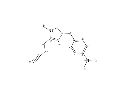 CN1C/C(=C/c2ccc(N(C)C)cc2)N=C1CCC#N